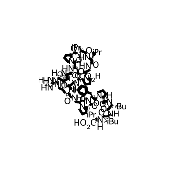 CC[C@H](C)[C@H](NC(=O)[C@@H](NC(=O)[C@@H]1CCCN1C(=O)[C@H](Cc1ccccc1)NC(=O)[C@@H]1CCCN1C(=O)CNC(=O)[C@H](CCCNC(=N)N)NC(=O)[C@@H](NC(=O)[C@@H]1CCCN1C(=O)CNC(=O)[C@H](CC(C)C)NC(=O)[C@@H](NC(=O)[C@@H]1CCCN1C(=O)[C@H](CCC(=O)O)NC(=O)[C@@H](N)CCC(N)=O)C(C)C)C(C)C)[C@@H](C)CC)C(=O)N[C@H](C(=O)O)C(C)C